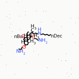 CCCCCCCCCCCCCCCCNCCC[C@@H](C)[C@H]1CC[C@H]2[C@@H]3[C@H](OCCCC)C[C@@H]4C[C@H](OCCCN)CC[C@]4(C)[C@H]3C[C@H](OCCCN)[C@]12C